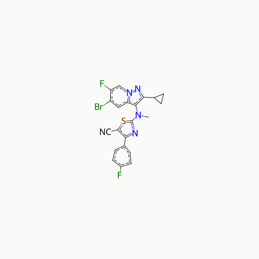 CN(c1nc(-c2ccc(F)cc2)c(C#N)s1)c1c(C2CC2)nn2cc(F)c(Br)cc12